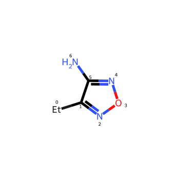 CCc1nonc1N